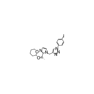 C[C@H](OC1CCCCO1)c1nccn1Cc1cn(-c2ccc(I)cc2)nn1